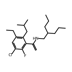 C=C(NCC(CCC)CCC)c1c(F)c(Cl)cc(CC)c1CC(C)C